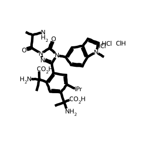 CC(N)C(=O)n1nc(-c2cc(C(C)C)c(C(C)(N)C(=O)O)cc2C(C)(N)C(=O)O)n(-c2ccc3c(ccn3C)c2)c1=O.Cl.Cl.Cl